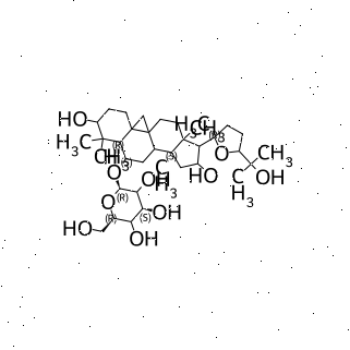 CC(C)(O)C1CC[C@](C)(C2C(O)C[C@@]3(C)C4C[C@H](O[C@@H]5O[C@H](CO)C(O)[C@H](O)C5O)[C@H]5C(C)(C)C(O)CCC56CC46CCC23C)O1